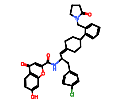 O=C(N[C@@H](C=C1CCC(c2ccccc2CN2CCCC2=O)CC1)Cc1ccc(Cl)cc1)c1cc(=O)c2ccc(O)cc2o1